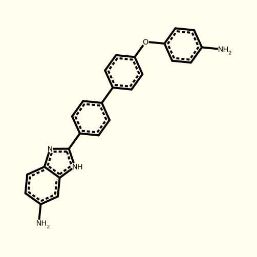 Nc1ccc(Oc2ccc(-c3ccc(-c4nc5ccc(N)cc5[nH]4)cc3)cc2)cc1